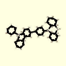 c1ccc(-n2c3ccccc3c3cc(-c4ccc(N5c6ccccc6Sc6ccccc65)cc4)ccc32)cc1